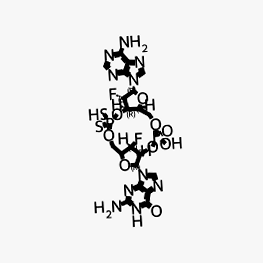 Nc1nc2c(ncn2[C@@H]2OC3COP(=S)(S)O[C@H]4[C@H](F)[C@H](n5cnc6c(N)ncnc65)O[C@@H]4COP(=O)(O)O[C@@H]2[C@@H]3F)c(=O)[nH]1